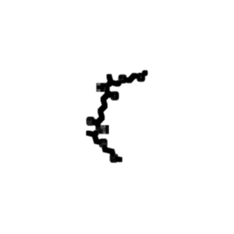 COCCOCC(C)NC(=O)CCCCC(=O)NC(C)COCCOC